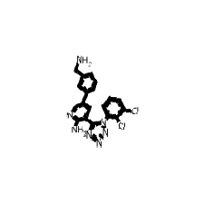 NCc1cccc(-c2cnc(N)c(-c3nnnn3-c3cccc(Cl)c3Cl)c2)c1